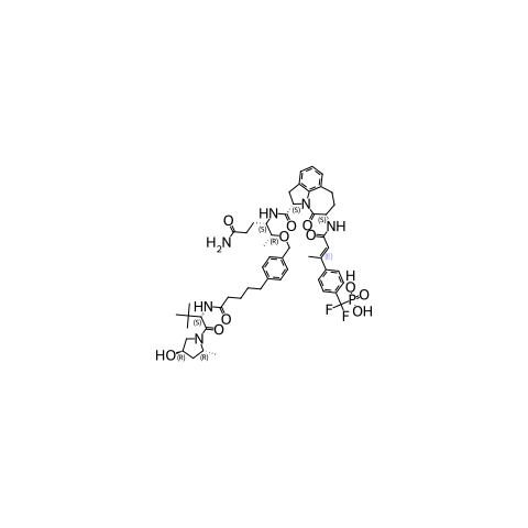 C/C(=C\C(=O)N[C@H]1CCc2cccc3c2N(C1=O)[C@H](C(=O)N[C@@H](CCC(N)=O)[C@@H](C)OCc1ccc(CCCCC(=O)N[C@H](C(=O)N2C[C@H](O)C[C@H]2C)C(C)(C)C)cc1)C3)c1ccc(C(F)(F)P(=O)(O)O)cc1